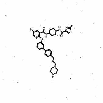 Cc1nc(C(=O)NC2CCC(NC(=O)c3cc(F)cnc3Oc3cccc(-c4ccc(CCCN5CCNCC5)cc4)c3)CC2)cs1